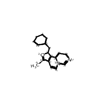 C[C@H]1OC(CC2CCCCC2)C2=C1C=CN1C=NCC=C21